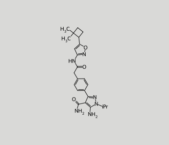 CC(C)n1nc(-c2ccc(CC(=O)Nc3cc(C4CCC4(C)C)on3)cc2)c(C(N)=O)c1N